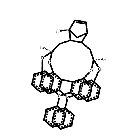 C1=C[C@@H]2CC1C1C[C@H]3Oc4ccc(P(c5ccccc5)c5ccccc5)c(c4O3)-c3c(P(c4ccccc4)c4ccccc4)ccc4c3O[C@H](CC12)O4